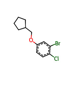 Clc1ccc(OCC2CCCC2)cc1Br